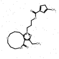 CCc1nn(CCCOC(=O)C2=CCC(C)=C2)c2c1C(=O)NCCCOCCC2